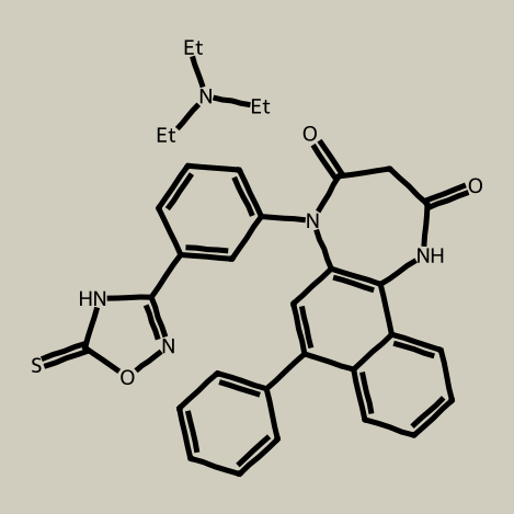 CCN(CC)CC.O=C1CC(=O)N(c2cccc(-c3noc(=S)[nH]3)c2)c2cc(-c3ccccc3)c3ccccc3c2N1